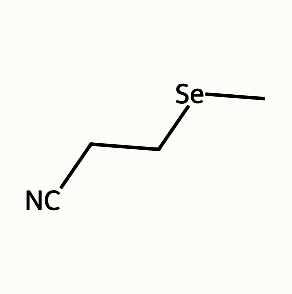 C[Se]CCC#N